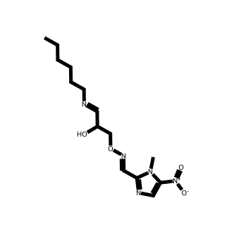 CCCCCCN=CC(O)CON=Cc1ncc([N+](=O)[O-])n1C